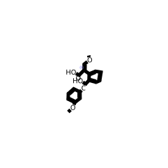 CO/C=C(/C(=O)O)c1ccccc1C(O)Cc1cccc(OC)c1